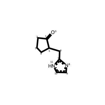 O=C1CCCC1Cc1ncc[nH]1